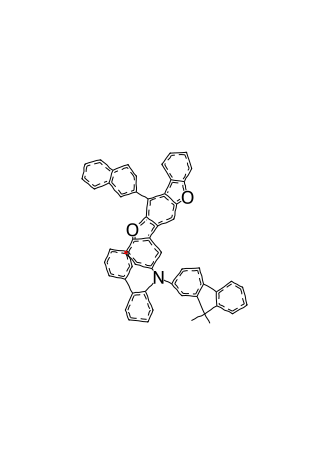 CC1(C)c2ccccc2-c2ccc(N(c3ccc4oc5c(-c6ccc7ccccc7c6)c6c(cc5c4c3)oc3ccccc36)c3ccccc3-c3ccccc3)cc21